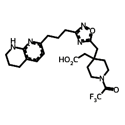 O=C(O)CC1(Cc2nc(CCCc3ccc4c(n3)NCCC4)no2)CCN(C(=O)C(F)(F)F)CC1